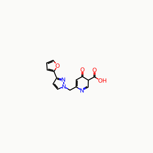 O=C(O)C1C=NC(Cn2ccc(-c3ccco3)n2)=CC1=O